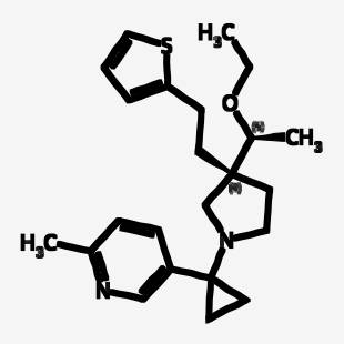 CCO[C@@H](C)[C@]1(CCc2cccs2)CCN(C2(c3ccc(C)nc3)CC2)C1